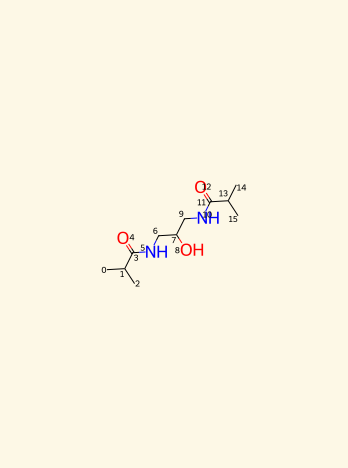 CC(C)C(=O)NCC(O)CNC(=O)C(C)C